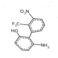 Nc1cccc(O)c1-c1cccc([N+](=O)[O-])c1C(F)(F)F